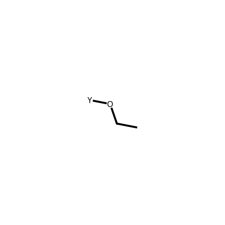 CC[O][Y]